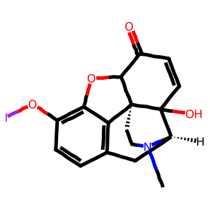 CN1CC[C@]23c4c5ccc(OI)c4OC2C(=O)C=CC3(O)[C@H]1C5